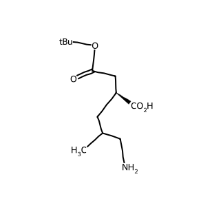 CC(CN)C[C@@H](CC(=O)OC(C)(C)C)C(=O)O